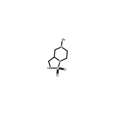 CC(C)N1CCN2C(CNS2(=O)=O)C1